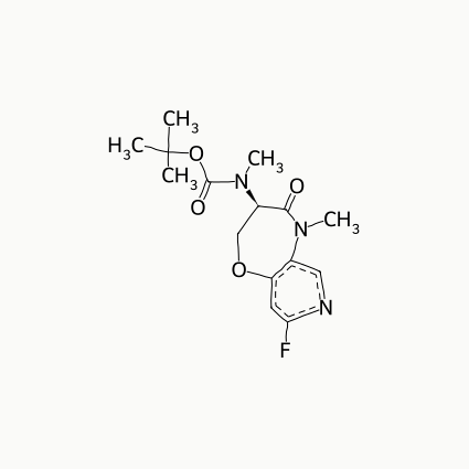 CN1C(=O)[C@H](N(C)C(=O)OC(C)(C)C)COc2cc(F)ncc21